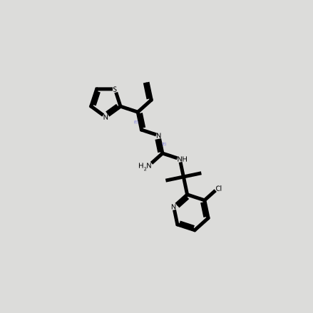 C=C/C(=C\N=C(/N)NC(C)(C)c1ncccc1Cl)c1nccs1